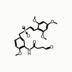 COc1cc(OC)c(/C=C/S(=O)(=O)Cc2ccc(OC)c(NC(=O)CCC=O)c2)c(OC)c1